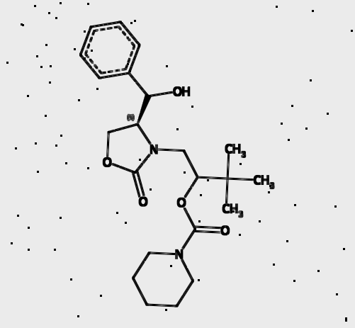 CC(C)(C)C(CN1C(=O)OC[C@H]1C(O)c1ccccc1)OC(=O)N1CCCCC1